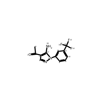 CC(=O)c1cnn(-c2cccc(C(F)(F)F)c2)c1N